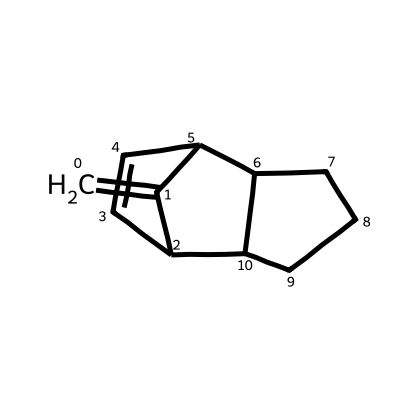 C=C1C2C=CC1C1CCCC21